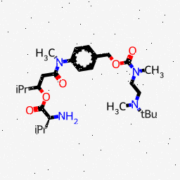 CC(C)C(CC(=O)N(C)c1ccc(COC(=O)N(C)CCN(C)C(C)(C)C)cc1)OC(=O)[C@@H](N)C(C)C